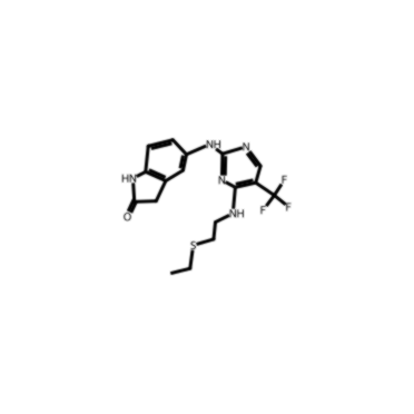 CCSCCNc1nc(Nc2ccc3c(c2)CC(=O)N3)ncc1C(F)(F)F